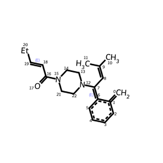 C=c1cccc/c1=C(/C=C(C)C)N1CCN(C(=O)/C=C/CC)CC1